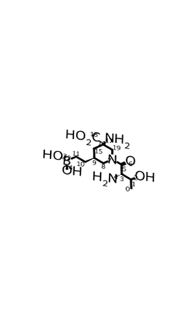 CC(O)[C@H](N)C(=O)N1C[C@@H](CCB(O)O)C[C@](N)(C(=O)O)C1